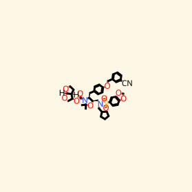 CC1(C)O[C@H](CN(CC2CCCC2)S(=O)(=O)c2ccc3c(c2)OCO3)[C@H](Cc2ccc(OCc3cccc(C#N)c3)cc2)N1C(=O)O[C@H]1CO[C@H]2OCC[C@H]21